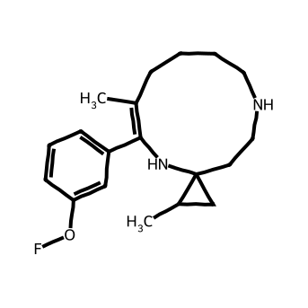 C/C1=C(\c2cccc(OF)c2)NC2(CCNCCCC1)CC2C